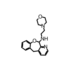 c1ccc2c(c1)Cc1cccnc1C(NCCN1CCOCC1)O2